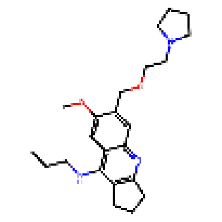 CCCNc1c2c(nc3cc(COCCN4CCCC4)c(OC)cc13)CCC2